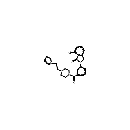 O=C(c1cccc(N2Cc3cccc(Cl)c3C2=O)c1)N1CCN(CCn2cccc2)CC1